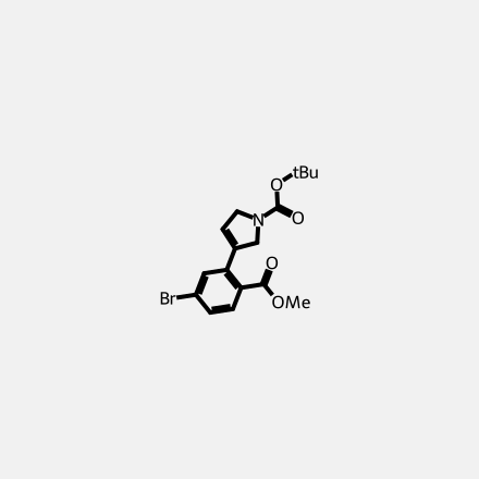 COC(=O)c1ccc(Br)cc1C1=CCN(C(=O)OC(C)(C)C)C1